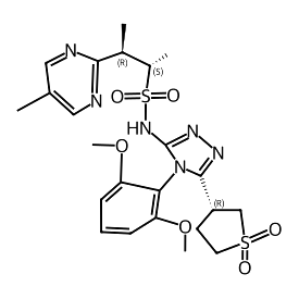 COc1cccc(OC)c1-n1c(NS(=O)(=O)[C@@H](C)[C@H](C)c2ncc(C)cn2)nnc1[C@H]1CCS(=O)(=O)C1